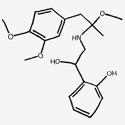 COc1ccc(CC(C)(NCC(O)c2ccccc2O)OC)cc1OC